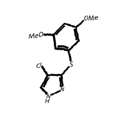 COc1cc(OC)cc(Sc2n[nH]cc2Cl)c1